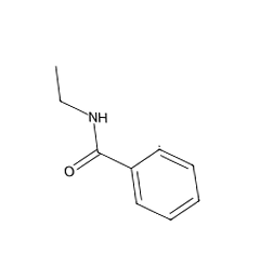 CCNC(=O)c1[c]cccc1